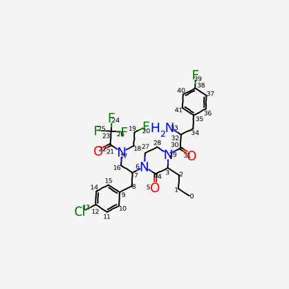 CCCC1C(=O)N(C(Cc2ccc(Cl)cc2)CN(CCF)C(=O)C(F)(F)F)CCN1C(=O)C(N)Cc1ccc(F)cc1